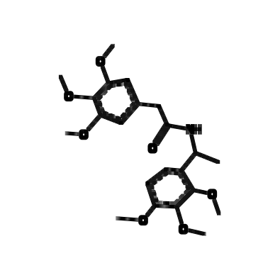 COc1cc(CC(=O)NC(C)c2ccc(OC)c(OC)c2OC)cc(OC)c1OC